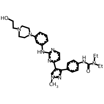 CCN(CC)C(=O)Nc1ccc(-c2nn(C)cc2-c2ccnc(Nc3cccc(N4CCN(CCO)CC4)c3)n2)cc1